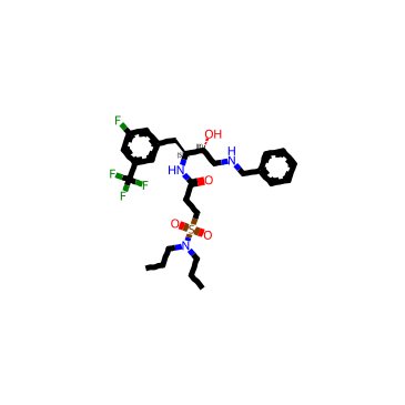 CCCN(CCC)S(=O)(=O)CCC(=O)N[C@@H](Cc1cc(F)cc(C(F)(F)F)c1)[C@H](O)CNCc1ccccc1